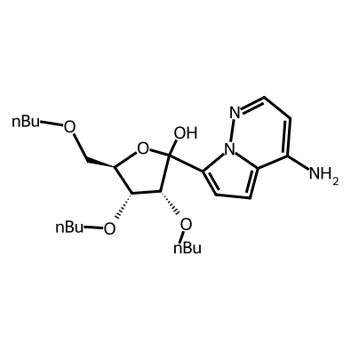 CCCCOC[C@H]1OC(O)(c2ccc3c(N)ccnn23)[C@H](OCCCC)[C@@H]1OCCCC